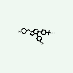 CC(C)(O)c1ccc(-c2ncc3c(ccn3CC3CCNCC3)c2-c2ccc(C#N)cc2)cc1